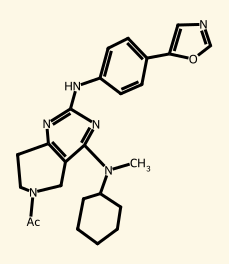 CC(=O)N1CCc2nc(Nc3ccc(-c4cnco4)cc3)nc(N(C)C3CCCCC3)c2C1